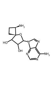 Nc1ncnc2c1ncn2C1O[C@]2(CC[C@H]2N)C(O)C1O